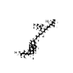 CC(C)CCC[C@@H](C)[C@H]1CC[C@H]2[C@@H]3CC=C4C[C@@H](OC(=O)CCCC(=O)N(CCCCCCCC(C)(C)N)CCC(C)(C)N)CC[C@]4(C)[C@H]3CC[C@]12C